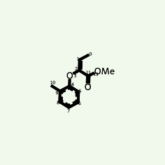 CC=C(Oc1ccccc1C)C(=O)OC